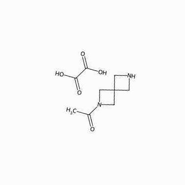 CC(=O)N1CC2(CNC2)C1.O=C(O)C(=O)O